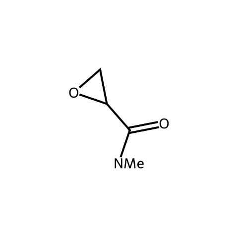 CNC(=O)C1CO1